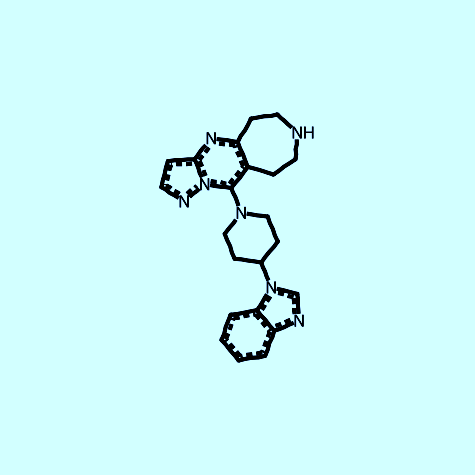 c1ccc2c(c1)ncn2C1CCN(c2c3c(nc4ccnn24)CCNCC3)CC1